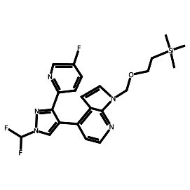 C[Si](C)(C)CCOCn1ccc2c(-c3cn(C(F)F)nc3-c3ccc(F)cn3)ccnc21